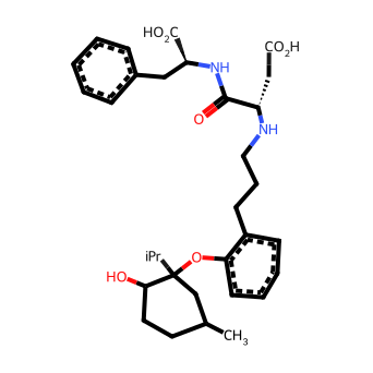 CC1CCC(O)C(Oc2ccccc2CCCN[C@@H](CC(=O)O)C(=O)N[C@@H](Cc2ccccc2)C(=O)O)(C(C)C)C1